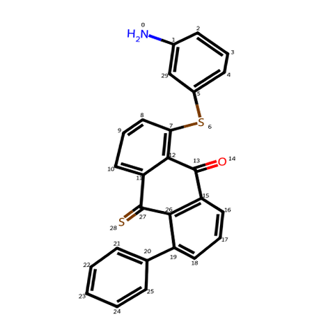 Nc1cccc(Sc2cccc3c2C(=O)c2cccc(-c4ccccc4)c2C3=S)c1